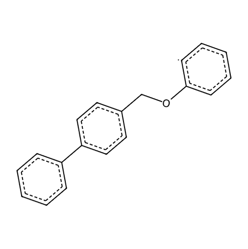 [c]1ccccc1OCc1ccc(-c2ccccc2)cc1